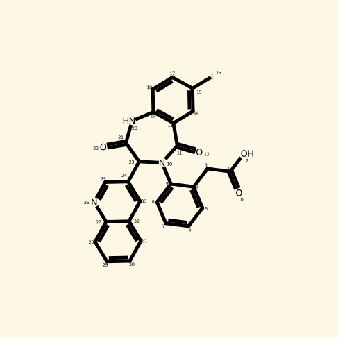 O=C(O)Cc1ccccc1N1C(=O)c2cc(I)ccc2NC(=O)C1c1cnc2ccccc2c1